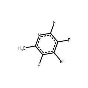 Cc1nc(F)c(F)c(Br)c1F